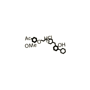 COc1cc(C(C)=O)ccc1OCCCN1CCC(Cc2cccc(C3CCCCC3)c2O)CC1.Cl